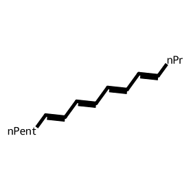 [CH2]CCCC/C=C/C=C/C=C/C=C/CCC